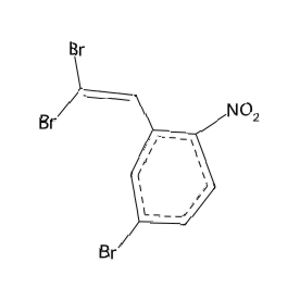 O=[N+]([O-])c1ccc(Br)cc1C=C(Br)Br